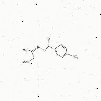 COCC(C)=NOC(=O)c1ccc([N+](=O)[O-])cc1